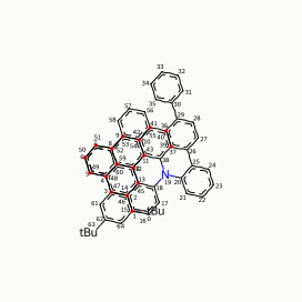 CC(C)(C)c1cc(-c2cccc3cccc(-c4ccccc4N(c4ccccc4-c4ccc(-c5ccccc5)cc4)c4ccccc4-c4cccc5cccc(-c6ccccc6)c45)c23)cc(C(C)(C)C)c1